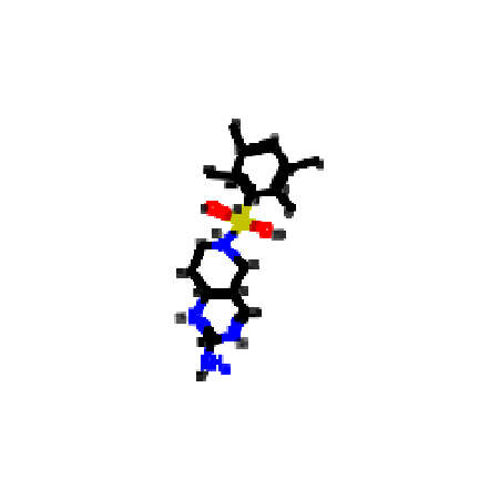 Cc1cc(C)c(C)c(S(=O)(=O)N2CCc3nc(N)ncc3C2)c1C